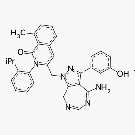 Cc1cccc2cc(Cn3nc(-c4cccc(O)c4)c4c3CN=CN=C4N)n(-c3ccccc3C(C)C)c(=O)c12